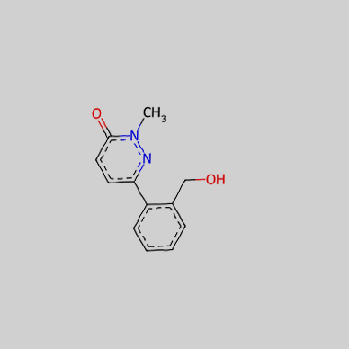 Cn1nc(-c2ccccc2CO)ccc1=O